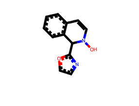 ON1C=Cc2ccccc2C1c1ncco1